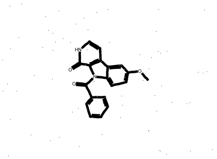 COc1ccc2c(c1)c1cc[nH]c(=O)c1n2C(=O)c1ccccc1